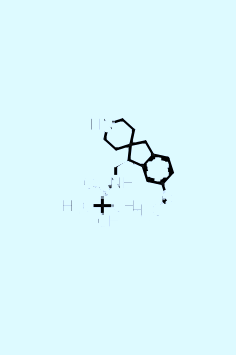 COc1ccc2c(c1)[C@@H](CN[S@+]([O-])C(C)(C)C)C1(CCNCC1)C2